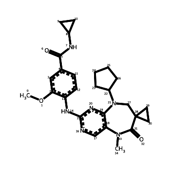 COc1cc(C(=O)NC2CC2)ccc1Nc1ncc2c(n1)N(C1CCCC1)CC1(CC1)C(=O)N2C